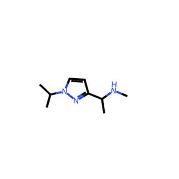 CNC(C)c1ccn(C(C)C)n1